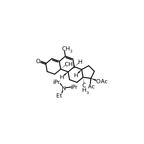 CC(=O)O[C@]1(C(C)=O)CC[C@H]2[C@@H]3C=C(C)C4=CC(=O)CC[C@]4(C)[C@H]3CC[C@@]21C.CCN(C(C)C)C(C)C